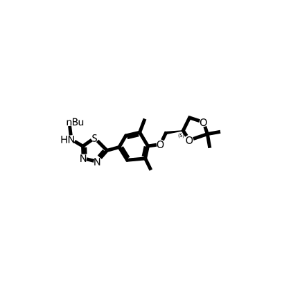 CCCCNc1nnc(-c2cc(C)c(OC[C@H]3COC(C)(C)O3)c(C)c2)s1